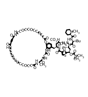 CC[C@H](C)[C@H](NC(=O)[C@H]1CCCCN1C)C(=O)N(C)[C@H](C[C@@H](OC(=O)N(C)C)c1nc(C(=O)N[C@@H](Cc2ccc3c(c2)NC(=O)CNC(=O)C(C)NC(=O)CCOCCOCCOCCNC(=O)C#CC(=O)NCCOCCOCCOCCC(=O)O3)CC(C)C(=O)O)cs1)C(C)C